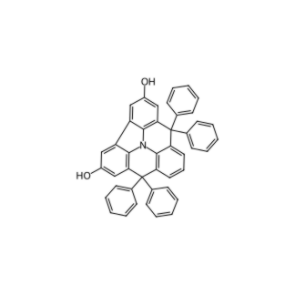 Oc1cc2c3c(c1)c1cc(O)cc4c1n3-c1c(cccc1C4(c1ccccc1)c1ccccc1)C2(c1ccccc1)c1ccccc1